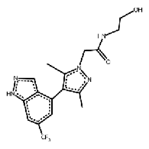 Cc1nn(CC(=O)NCCO)c(C)c1-c1cc(C(F)(F)F)cc2[nH]ncc12